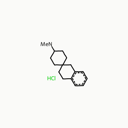 CNC1CCC2(CCc3ccccc3C2)CC1.Cl